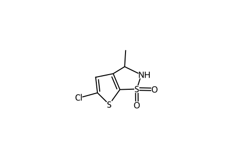 CC1NS(=O)(=O)c2sc(Cl)cc21